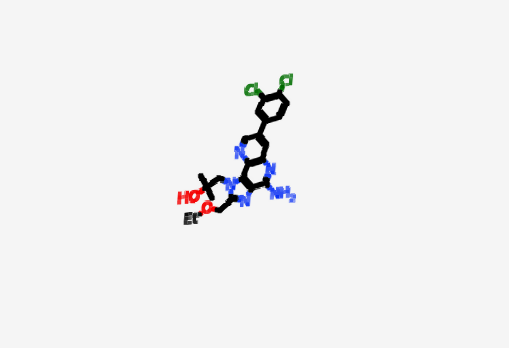 CCOCc1nc2c(N)nc3cc(-c4ccc(Cl)c(Cl)c4)cnc3c2n1CC(C)(C)O